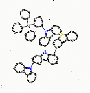 c1ccc([Si](c2ccccc2)(c2ccccc2)c2cccc(-n3c4ccccc4c4cc(-n5c6ccc(-n7c8ccccc8c8ccccc87)cc6c6cccc(-c7ccc8sc9ccccc9c8c7)c65)ccc43)c2)cc1